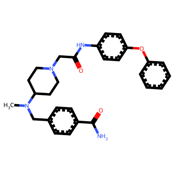 CN(Cc1ccc(C(N)=O)cc1)C1CCN(CC(=O)Nc2ccc(Oc3ccccc3)cc2)CC1